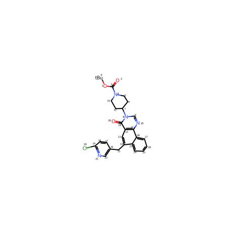 CC(C)(C)OC(=O)N1CCC(n2cnc3c(cc(Cc4ccc(Cl)nc4)c4ccccc43)c2=O)CC1